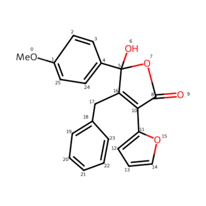 COc1ccc(C2(O)OC(=O)C(c3ccco3)=C2Cc2ccccc2)cc1